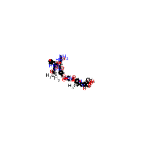 CCc1c2c(nc3ccc(OC(=O)N4CCN(C(=O)OCc5ccc(NC(=O)[C@H](CCCNC(N)=O)NC(=O)[C@H](Cc6ccccc6)NC(=O)CCC(=O)C(C)C)cc5)CC4)cc13)-c1cc3c(c(=O)n1C2)COC(=O)[C@]3(O)CC